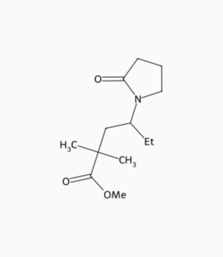 CCC(CC(C)(C)C(=O)OC)N1CCCC1=O